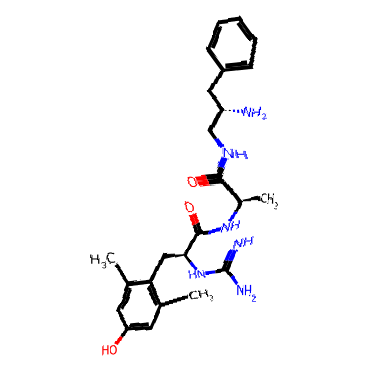 Cc1cc(O)cc(C)c1C[C@H](NC(=N)N)C(=O)N[C@H](C)C(=O)NC[C@@H](N)Cc1ccccc1